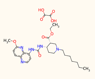 CCCCCCCN1CC[C@H](NC(=O)Nc2ccnc3ccc(OC)nc23)[C@H](C(=O)OCC)C1.O=C(O)C(=O)O